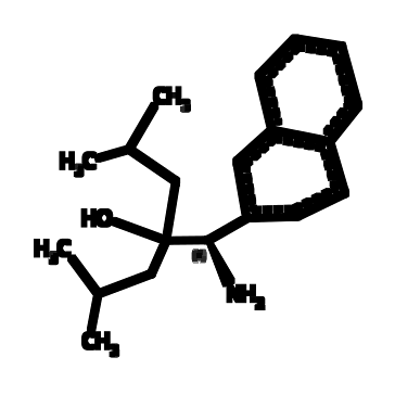 CC(C)CC(O)(CC(C)C)[C@H](N)c1ccc2ccccc2c1